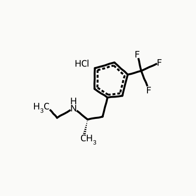 CCN[C@@H](C)Cc1cccc(C(F)(F)F)c1.Cl